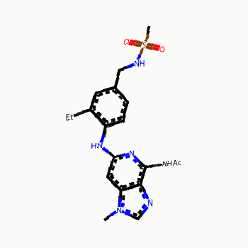 CCc1cc(CNS(C)(=O)=O)ccc1Nc1cc2c(ncn2C)c(NC(C)=O)n1